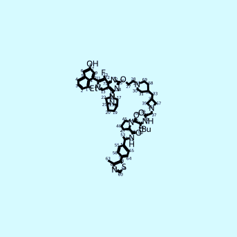 CCc1cccc2cc(O)cc(-c3ncc4c(N5CC6CCC(C5)N6)nc(OCCN5CCC(CC6CN(CC(=O)NC(C(=O)N7CCCC7C(=O)NC(C)c7ccc(-c8scnc8C)cc7)C(C)(C)C)C6)CC5)nc4c3F)c12